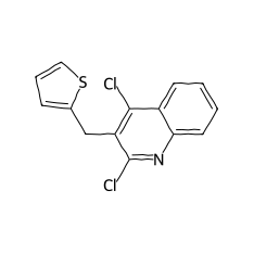 Clc1nc2ccccc2c(Cl)c1Cc1cccs1